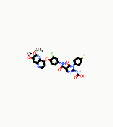 COc1cc2nccc(Oc3ccc(NC(=O)c4cnc(NC(=O)O)n(-c5ccc(F)cc5)c4=O)cc3F)c2nc1OC